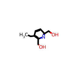 CCc1ccc(CO)nc1CO